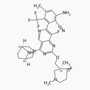 Cc1cc(N)c(C#N)c(-c2ncc3c(N4C[C@H]5CC[C@@H](C4)N5)nc(OC[C@]4(C)CN(C)CC[C@@H]4F)nc3c2F)c1C(F)(F)F